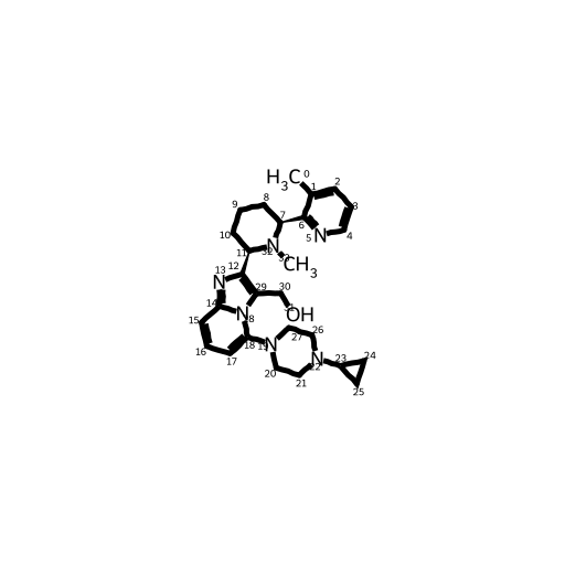 Cc1cccnc1[C@@H]1CCC[C@H](c2nc3cccc(N4CCN(C5CC5)CC4)n3c2CO)N1C